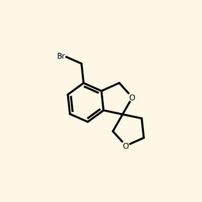 BrCc1cccc2c1COC21CCOC1